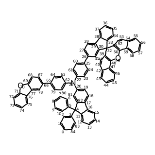 c1ccc(C2(c3ccccc3)c3ccccc3-c3ccc(N(c4ccc(-c5ccc6c(c5)C5(c7ccccc7-6)c6ccc7ccccc7c6Oc6c5ccc5ccccc65)cc4)c4ccc(-c5ccc6oc7ccccc7c6c5)cc4)cc32)cc1